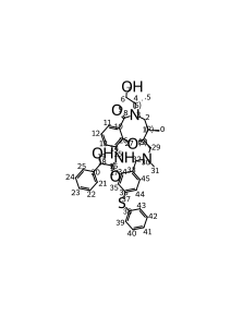 C[C@@H]1CN([C@@H](C)CO)C(=O)c2cccc(NC(=O)C(O)c3ccccc3)c2O[C@@H]1CN(C)Cc1ccc(Sc2ccccc2)cc1